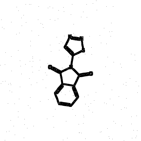 O=C1c2ccccc2C(=O)N1c1cnns1